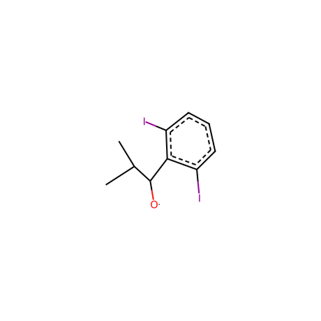 CC(C)C([O])c1c(I)cccc1I